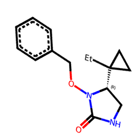 CCC1([C@@H]2CNC(=O)N2OCc2ccccc2)CC1